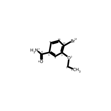 CCOc1cc(C(N)=O)ccc1Br